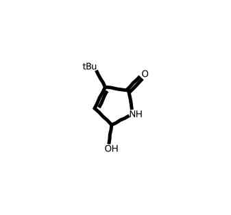 CC(C)(C)C1=CC(O)NC1=O